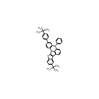 CC(C)(C)c1ccc(-c2ccc3c(c2)N(c2ccccc2)c2cccc4c2B3c2sc3ccc(C(C)(C)C)cc3c2-4)cc1